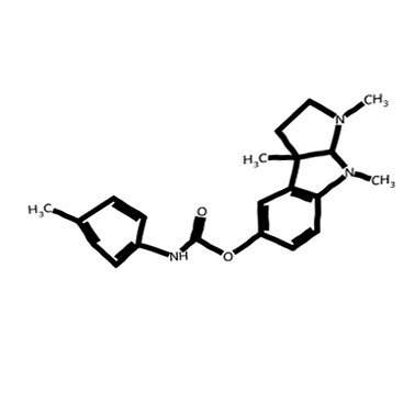 Cc1ccc(NC(=O)Oc2ccc3c(c2)C2(C)CCN(C)C2N3C)cc1